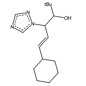 CC(C)(C)C(O)C(/C=C/C1CCCCC1)n1cncn1